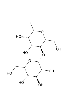 CC1OC(CO)[C@@H](O[C@H]2OC(CO)[C@@H](O)[C@H](O)C2O)C(O)[C@@H]1O